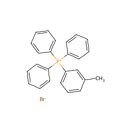 Cc1cccc([P+](c2ccccc2)(c2ccccc2)c2ccccc2)c1.[Br-]